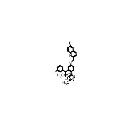 Cn1nnc(-c2ccc(OCc3ccc4cc(F)ccc4n3)cc2C(c2cccc(F)c2)C(C)(C)C)n1